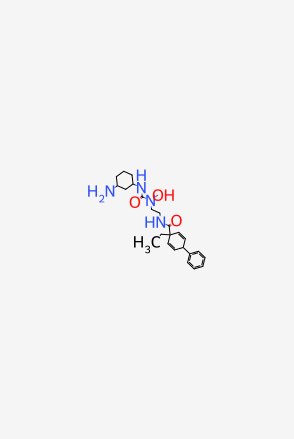 CCC1(C(=O)NCCN(O)C(=O)NC2CCCC(N)C2)C=CC(c2ccccc2)C=C1